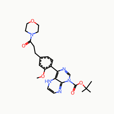 COc1cc(CCC(=O)N2CCOCC2)ccc1C1=C2NC=CN=C2N(C(=O)OC(C)(C)C)C=N1